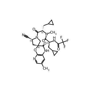 Cc1cnc2c(c1)NC(=O)[C@]1(C[C@@H](C#N)N(C(=O)[C@H](CC3CC3)N(C)C(=O)[C@H](CC3CC3)NC(=O)C(F)(F)F)C1)O2